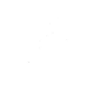 CC(C)c1cc2c3c(c1)N(c1cccc4c1oc1ccccc14)c1ccccc1B3c1ccccc1N2c1ccccc1